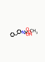 COC(=O)C1(O)CN(c2cccc(Cc3ccccc3)c2)C1